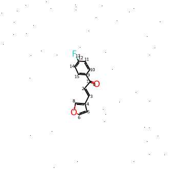 O=C(C=Cc1ccoc1)c1ccc(F)cc1